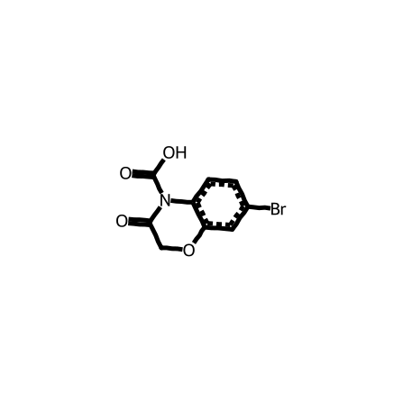 O=C(O)N1C(=O)COc2cc(Br)ccc21